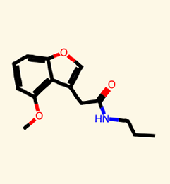 CCCNC(=O)Cc1coc2cccc(OC)c12